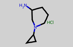 Cl.NC1CCCN(C2CC2)C1